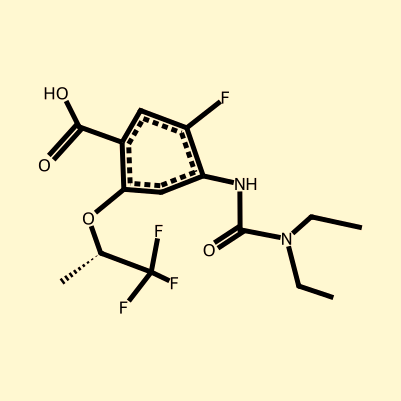 CCN(CC)C(=O)Nc1cc(O[C@@H](C)C(F)(F)F)c(C(=O)O)cc1F